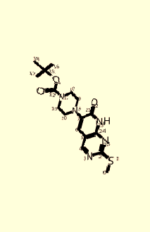 CSc1ncc2cc(N3CCN(C(=O)OC(C)(C)C)CC3)c(=O)[nH]c2n1